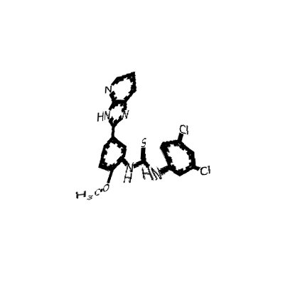 COc1ccc(-c2nc3cccnc3[nH]2)cc1NC(=S)Nc1cc(Cl)cc(Cl)c1